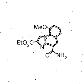 CCOC(=O)c1cn2c(n1)c(C(N)=O)cc1cccc(OC)c12